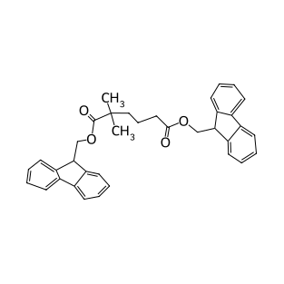 CC(C)(CCCC(=O)OCC1c2ccccc2-c2ccccc21)C(=O)OCC1c2ccccc2-c2ccccc21